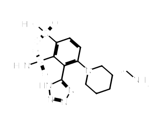 CS(=O)(=O)c1ccc(N2CCC[C@@H](CN)C2)c(-c2nnn[nH]2)c1S(N)(=O)=O